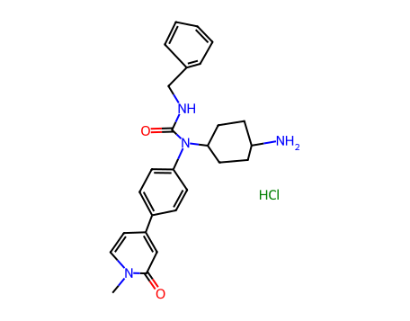 Cl.Cn1ccc(-c2ccc(N(C(=O)NCc3ccccc3)C3CCC(N)CC3)cc2)cc1=O